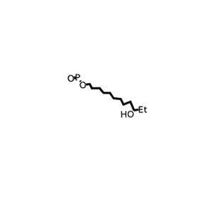 CCC(O)CCCCCCCCCOP=O